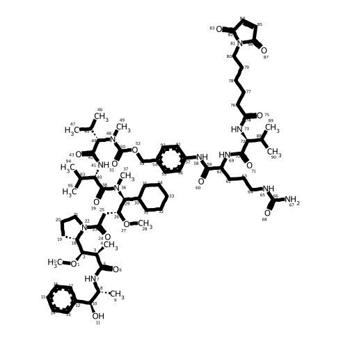 CO[C@H]([C@@H](C)C(=O)N[C@H](C)[C@@H](O)c1ccccc1)[C@@H]1CCCN1C(=O)C[C@@H](OC)[C@H](C1CCCCC1)N(C)C(=O)[C@@H](NC(=O)[C@H](C(C)C)N(C)C(=O)OCc1ccc(NC(=O)C(CCCNC(N)=O)NC(=O)[C@@H](NC(=O)CCCCCN2C(=O)C=CC2=O)C(C)C)cc1)C(C)C